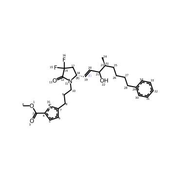 COC(=O)c1ccc(CCCN2C(=O)C(F)(F)C[C@@H]2/C=C/C(O)[C@@H](C)CCCCc2ccccc2)s1